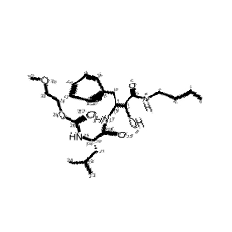 CCCCNC(=O)C(O)[C@H](Cc1ccccc1)NC(=O)[C@H](CC(C)C)NC(=O)OCCOC